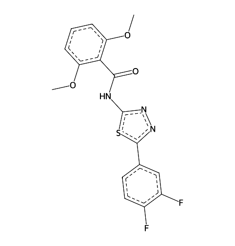 COc1cccc(OC)c1C(=O)Nc1nnc(-c2ccc(F)c(F)c2)s1